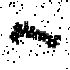 Cc1cccc([C@H]2CCCN2C(=O)[C@H](O)[C@@H](O)C(=O)NCc2cc(Cc3ccccc3C#N)cs2)c1